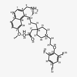 COc1ccc2ncc(CN)c([C@H](F)CCC3(CC(=O)O)CCN(CCOc4c(F)cc(F)cc4F)CC3)c2c1